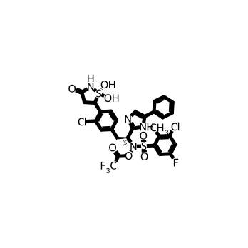 Cc1c(Cl)cc(F)cc1S(=O)(=O)N(OC(=O)C(F)(F)F)[C@@H](Cc1ccc(C2CC(=O)NS2(O)O)c(Cl)c1)c1ncc(-c2ccccc2)[nH]1